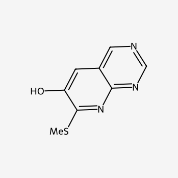 CSc1nc2ncncc2cc1O